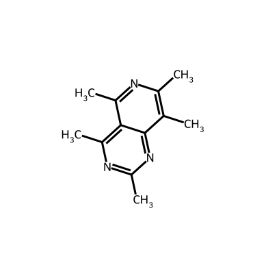 Cc1nc(C)c2c(C)nc(C)c(C)c2n1